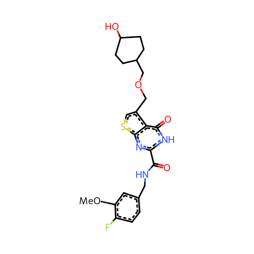 COc1cc(CNC(=O)c2nc3scc(COCC4CCC(O)CC4)c3c(=O)[nH]2)ccc1F